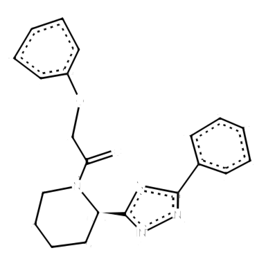 O=C(COc1ccccc1)N1CCCC[C@@H]1c1nc(-c2ccccc2)n[nH]1